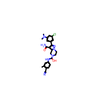 Cc1cc(NC(O)N2CCn3nc(-c4cc(Cl)cc(N(C)C)c4)c(C(N)=O)c3C2)ccc1C#N